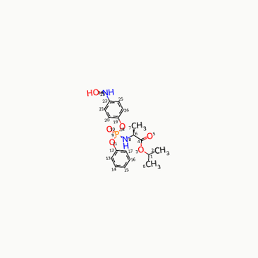 CC(C)OC(=O)[C@H](C)N[P@](=O)(Oc1ccccc1)Oc1ccc(NO)cc1